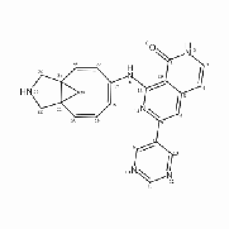 O=c1[nH]ccc2cc(-c3cncnc3)nc(NC3=CC=CC45CNCC4(C=C3)C5)c12